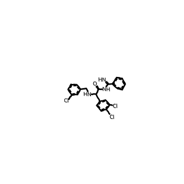 N=C(NC(=O)C(NCc1cccc(Cl)c1)c1ccc(Cl)c(Cl)c1)c1ccccc1